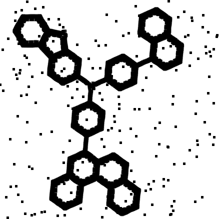 c1ccc2c(-c3ccc(N(c4ccc(-c5cc6ccccc6c6c5ccc5ccccc56)cc4)c4ccc5c(c4)sc4ccccc45)cc3)cccc2c1